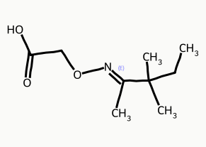 CCC(C)(C)/C(C)=N/OCC(=O)O